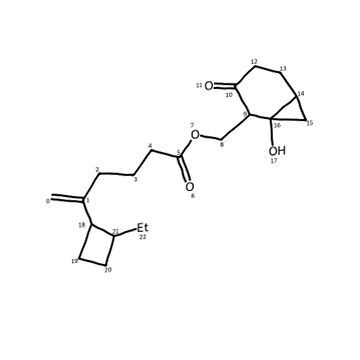 C=C(CCCC(=O)OCC1C(=O)CCC2CC21O)C1CCC1CC